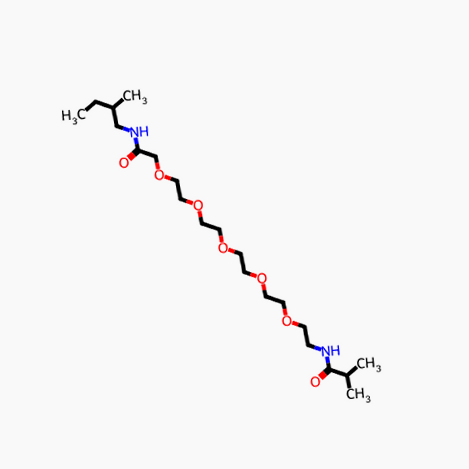 CCC(C)CNC(=O)COCCOCCOCCOCCOCCNC(=O)C(C)C